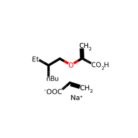 C=C(OCC(CC)CCCC)C(=O)O.C=CC(=O)[O-].[Na+]